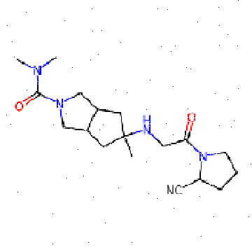 CN(C)C(=O)N1CC2CC(C)(NCC(=O)N3CCCC3C#N)CC2C1